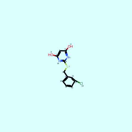 Oc1cc(O)nc(SCc2cccc(Cl)c2)n1